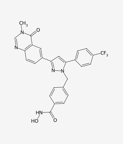 Cn1cnc2ccc(-c3cc(-c4ccc(C(F)(F)F)cc4)n(Cc4ccc(C(=O)NO)cc4)n3)cc2c1=O